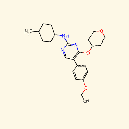 CC1CCC(Nc2ncc(-c3ccc(OCC#N)cc3)c(OC3CCOCC3)n2)CC1